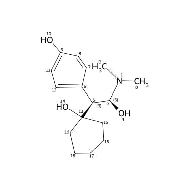 CN(C)[C@@H](O)[C@H](c1ccc(O)cc1)C1(O)CCCCC1